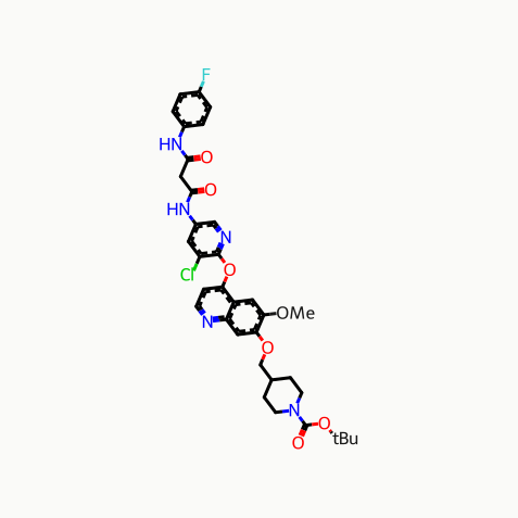 COc1cc2c(Oc3ncc(NC(=O)CC(=O)Nc4ccc(F)cc4)cc3Cl)ccnc2cc1OCC1CCN(C(=O)OC(C)(C)C)CC1